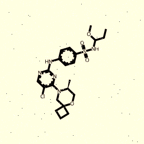 CCC(NS(=O)(=O)c1ccc(Nc2ncc(Cl)c(N3CC4(CCC4)OC[C@@H]3C)n2)cc1)OC